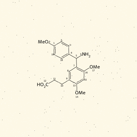 COc1ccc(C(N)c2cc(CCC(=O)O)c(OC)cc2OC)cc1